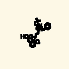 COc1cccc(CC(=O)O)c1OCCCc1cc(OC(C)C)nn1Cc1ccccc1